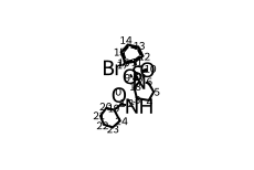 O=C(N[C@H]1CCCN(S(=O)(=O)c2ccccc2Br)C1)C1CCCCC1